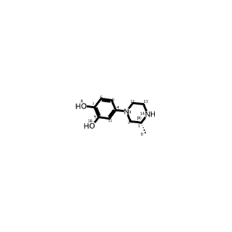 C[C@@H]1CN(c2ccc(O)c(O)c2)CCN1